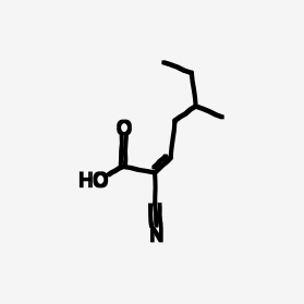 CCC(C)CC=C(C#N)C(=O)O